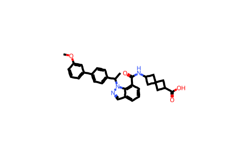 COc1cccc(-c2ccc(C(C)n3ncc4cccc(C(=O)NC5CC6(C5)CC(C(=O)O)C6)c43)cc2)c1